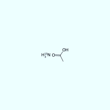 CC(=O)O.[15NH3]